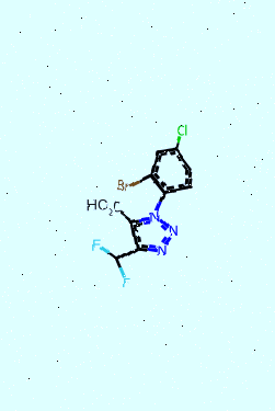 O=C(O)c1c(C(F)F)nnn1-c1ccc(Cl)cc1Br